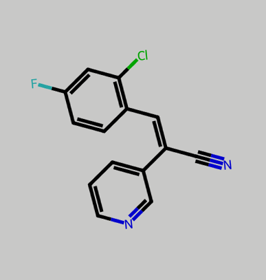 N#C/C(=C/c1ccc(F)cc1Cl)c1cccnc1